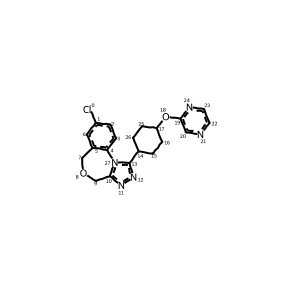 Clc1ccc2c(c1)COCc1nnc(C3CCC(Oc4cnccn4)CC3)n1-2